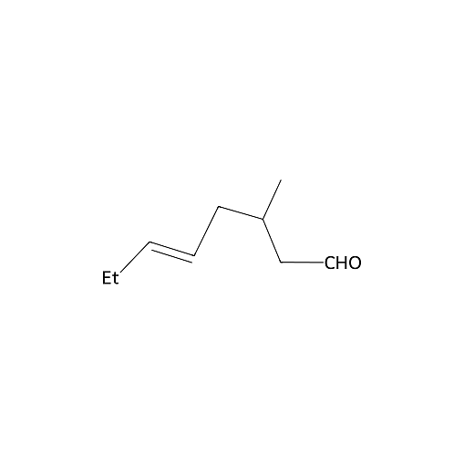 CCC=CCC(C)CC=O